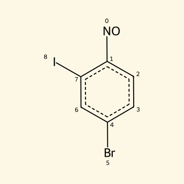 O=Nc1ccc(Br)cc1I